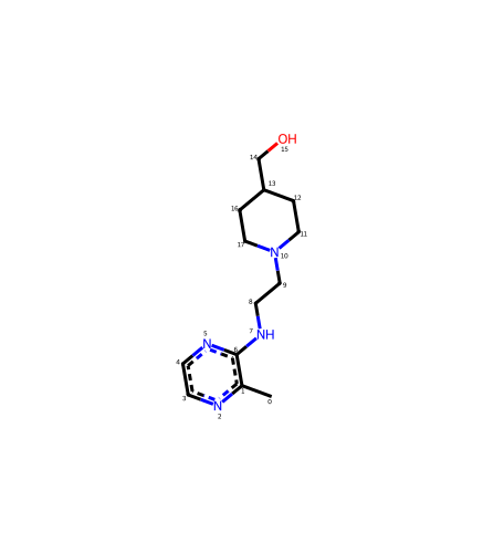 Cc1nccnc1NCCN1CCC(CO)CC1